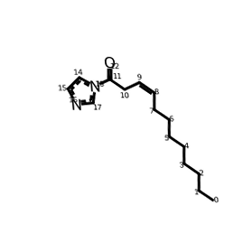 CCCCCCCC/C=C\CC(=O)n1ccnc1